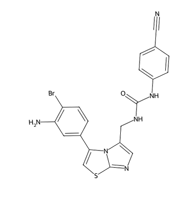 N#Cc1ccc(NC(=O)NCc2cnc3scc(-c4ccc(Br)c(N)c4)n23)cc1